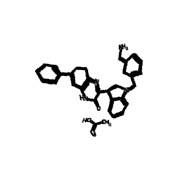 CC(=O)O.NCc1cccc(Cn2cc(-c3nc4ccc(-c5ccccc5)cc4[nH]c3=O)c3ccccc32)c1